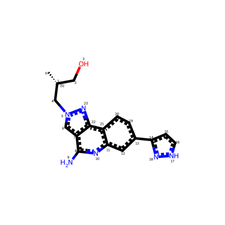 C[C@H](CO)Cn1cc2c(N)nc3cc(-c4cc[nH]n4)ccc3c2n1